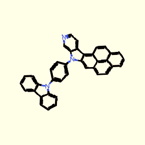 c1cc2ccc3cc4c(c5ccc(c1)c2c35)c1ccncc1n4-c1ccc(-n2c3ccccc3c3ccccc32)cc1